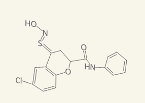 O=C(Nc1ccccc1)C1CC(=S=NO)c2cc(Cl)ccc2O1